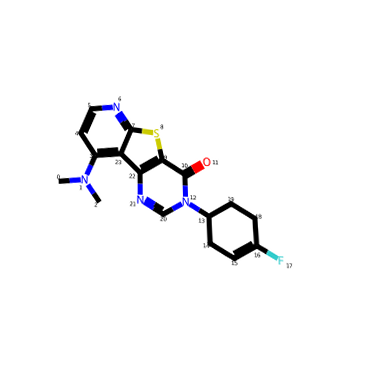 CN(C)c1ccnc2sc3c(=O)n(C4CC=C(F)CC4)cnc3c12